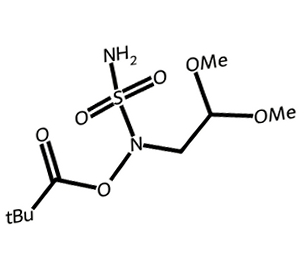 COC(CN(OC(=O)C(C)(C)C)S(N)(=O)=O)OC